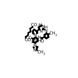 Cc1cn(-c2cc(NC(=O)c3ccc(C)c(Nc4nccc(-c5cccnc5)n4)c3)cc(C(F)(F)F)c2)cn1.O=C(O)CCCCCCC(=O)O